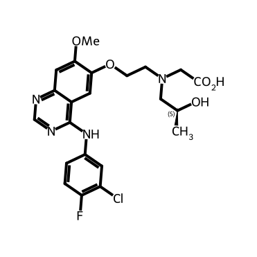 COc1cc2ncnc(Nc3ccc(F)c(Cl)c3)c2cc1OCCN(CC(=O)O)C[C@H](C)O